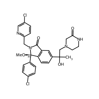 CO[C@]1(c2ccc(Cl)cc2)c2ccc(C(C)(O)CN3CCNC(=O)C3)cc2C(=O)N1Cc1ccc(Cl)cn1